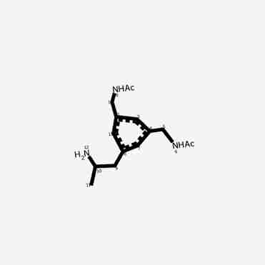 CC(=O)NCc1cc(CNC(C)=O)cc(CC(C)N)c1